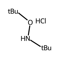 CC(C)(C)NOC(C)(C)C.Cl